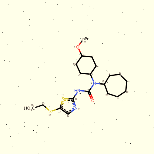 CCCOC1CCC(N(C(=O)Nc2ncc(SCC(=O)O)s2)C2CCCCCC2)CC1